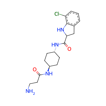 NCCC(=O)N[C@H]1CC[C@H](NC(=O)C2Cc3cccc(Cl)c3N2)CC1